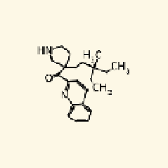 CCC(C)(CC)CCC1(C(=O)c2ccc3ccccc3n2)CCNC1